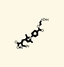 CCCCCCCCCCCCOC(=O)c1ccc(-n2c(C)cc(C=C3C(=O)ON=C3C(C)C)c2C)cc1